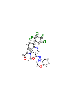 O=C(NN1CCOc2ccccc21)c1cnc2c(-c3cc(Cl)c(F)c(Cl)c3F)c(F)ccc2c1N1CCOCC1